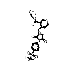 CCOC(=O)c1cnccc1CN1CC(=O)N(c2ccc(S(=O)(=O)C(F)(F)F)cc2)C1=O